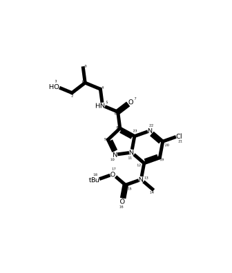 CC(CO)CNC(=O)c1cnn2c(N(C)C(=O)OC(C)(C)C)cc(Cl)nc12